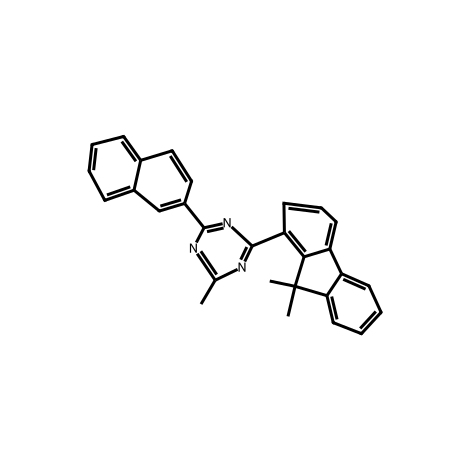 Cc1nc(-c2ccc3ccccc3c2)nc(-c2cccc3c2C(C)(C)c2ccccc2-3)n1